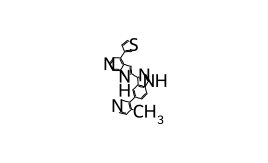 Cc1ccncc1-c1ccc2[nH]nc(-c3cc4c(-c5ccsc5)cncc4[nH]3)c2c1